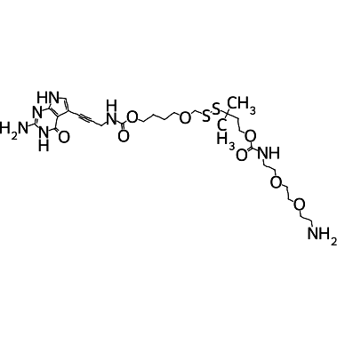 CC(C)(CCOC(=O)NCCOCCOCCN)SSCOCCCCOC(=O)NCC#Cc1c[nH]c2nc(N)[nH]c(=O)c12